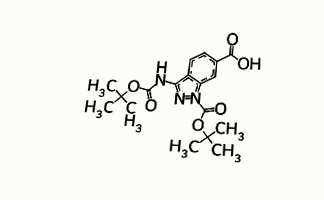 CC(C)(C)OC(=O)Nc1nn(C(=O)OC(C)(C)C)c2cc(C(=O)O)ccc12